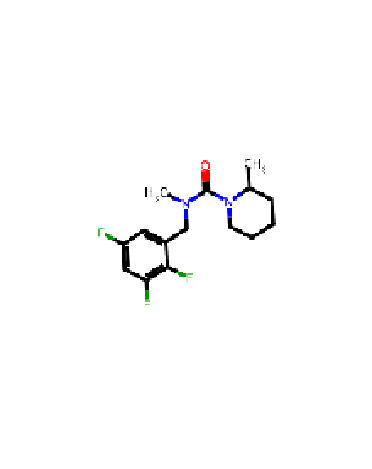 CC1CCCCN1C(=O)N(C)Cc1cc(F)cc(F)c1F